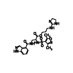 Cc1noc(C)c1S(=O)(=O)NC(CNC(=O)c1cccc2[nH]ncc12)C(=O)OCCCNC1=NCCN1